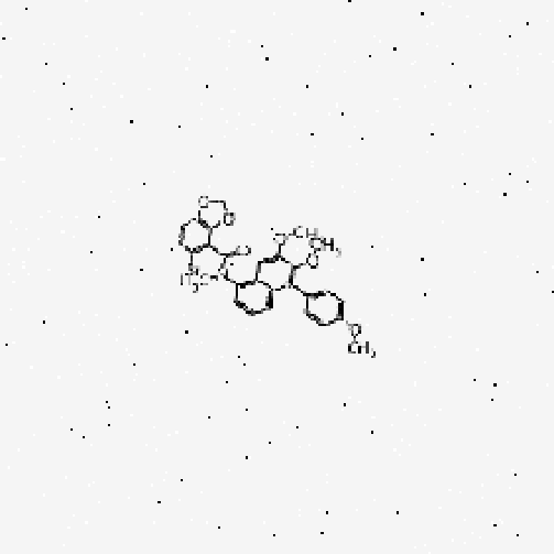 COc1ccc(-c2c(OC)c(OC)cc3c(N(C)C(=O)c4c(Br)ccc5c4OCO5)cccc23)cc1